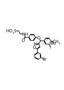 CC(/C=C\C(=C/CI)C(Oc1ccc(C(=O)NCCS(=O)(=O)O)cc1)c1cc(-c2cccc(Br)c2)on1)C(C)(C)C